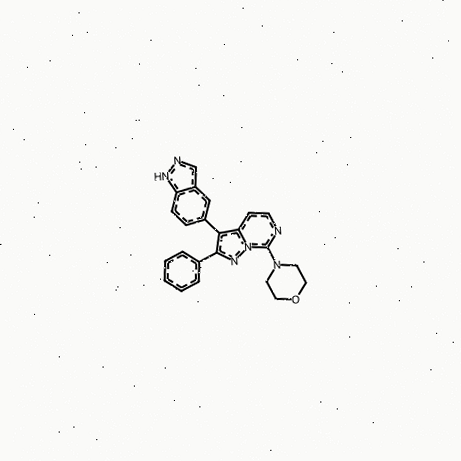 c1ccc(-c2nn3c(N4CCOCC4)nccc3c2-c2ccc3[nH]ncc3c2)cc1